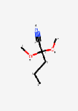 CCCC(C#N)(OC)OC